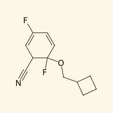 N#CC1C=C(F)C=CC1(F)OCC1CCC1